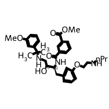 CCCNCCOc1cccc(C[C@H](NC(=O)c2cccc(C(=O)OC)c2)[C@H](O)CNC(C)(C)c2cccc(OC)c2)c1